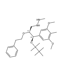 CNNC[C@H](OCCc1ccccc1)[C@H](O[Si](C)(C)C(C)(C)C)c1cc(OC)c(C)c(OC)c1